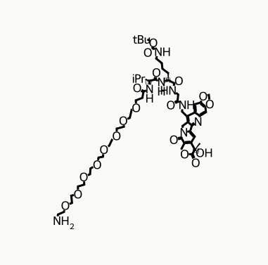 CC(C)[C@H](NC(=O)CCOCCOCCOCCOCCOCCOCCOCCOCCN)C(=O)N[C@@H](CCCCNC(=O)OC(C)(C)C)C(=O)NCC(=O)NCc1c2c(nc3cc4c(cc13)OCO4)-c1cc3c(c(=O)n1C2)COC(=O)[C@@]3(C)O